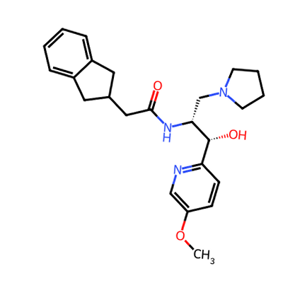 COc1ccc([C@@H](O)[C@@H](CN2CCCC2)NC(=O)CC2Cc3ccccc3C2)nc1